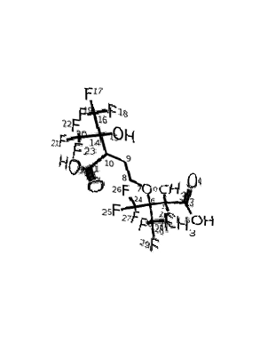 CC(C)(C(=O)O)C(OCCC(C(=O)O)C(O)(C(F)(F)F)C(F)(F)F)(C(F)(F)F)C(F)(F)F